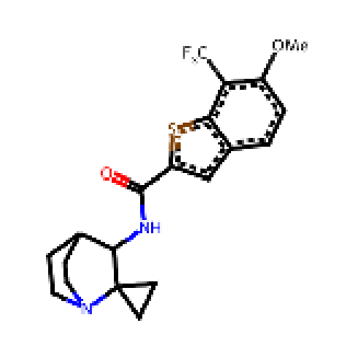 COc1ccc2cc(C(=O)NC3C4CCN(CC4)C34CC4)sc2c1C(F)(F)F